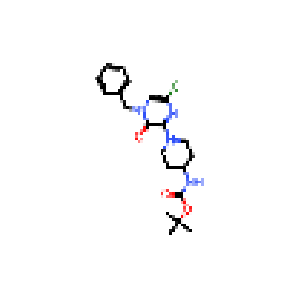 CC(C)(C)OC(=O)NC1CCN(c2nc(Cl)cn(Cc3ccccc3)c2=O)CC1